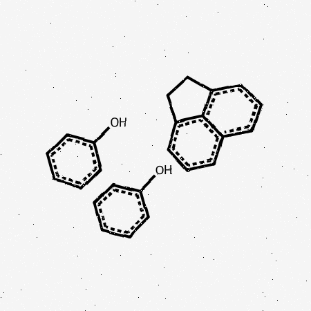 Oc1ccccc1.Oc1ccccc1.c1cc2c3c(cccc3c1)CC2